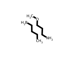 BCCCC.COCCCN